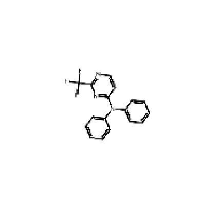 FC(F)(F)c1nccc(N(c2ccccc2)c2ccccc2)n1